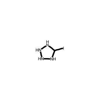 IC1NNNN1